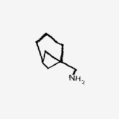 NCC12CCCC(C1)C2